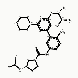 Cc1ccc(NC(=O)N2CC[C@H](OC(F)F)C2)cc1-c1cc(O[C@H](C)[C@@H](C)O)nc(N2CCOCC2)c1